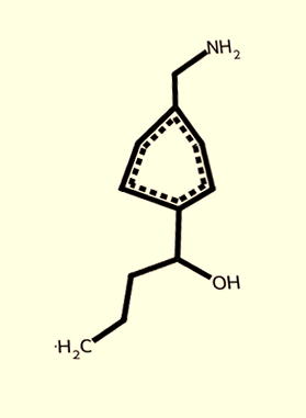 [CH2]CCC(O)c1ccc(CN)cc1